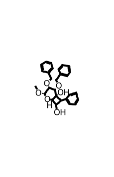 CO[C@H]1O[C@@H]2C(O)C(c3ccccc3)[C@]2(O)[C@@H](OCc2ccccc2)[C@@H]1OCc1ccccc1